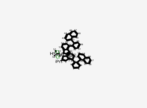 CC(C)C1=Cc2c(-c3ccccc3-c3cccc4ccccc34)cccc2[CH]1[Hf]([Cl])([Cl])([CH]1C(C(C)C)=Cc2c(-c3ccccc3-c3cccc4ccccc34)cccc21)[SiH](C)C